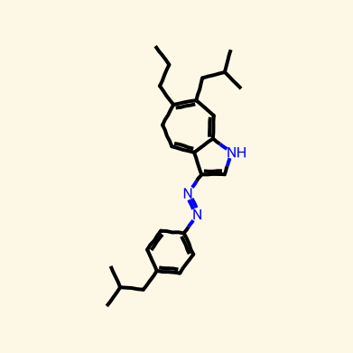 CCCC1=C(CC(C)C)C=c2[nH]cc(/N=N/c3ccc(CC(C)C)cc3)c2=CC1